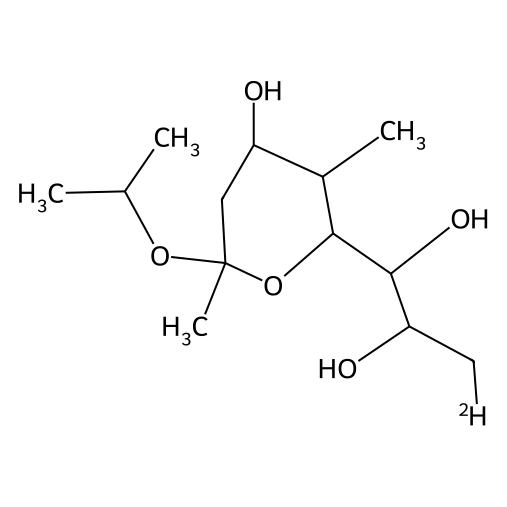 [2H]CC(O)C(O)C1OC(C)(OC(C)C)CC(O)C1C